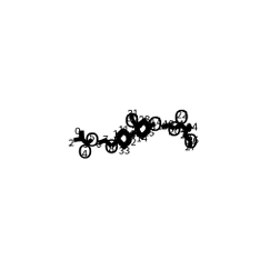 C=C(C)C(=O)OCCOc1ccc(-c2ccc(OCCOC(=O)C(=C)COC)cc2OC)cc1